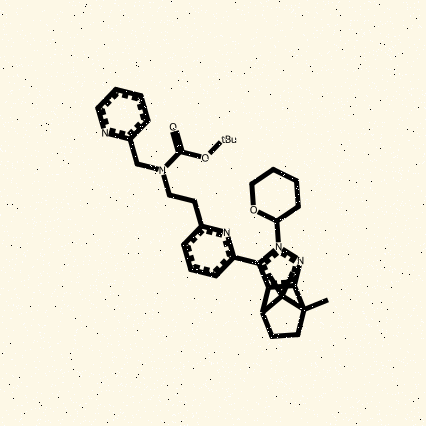 CC(C)(C)OC(=O)N(CCc1cccc(-c2c3c(nn2C2CCCCO2)C2(C)CCC3C2(C)C)n1)Cc1ccccn1